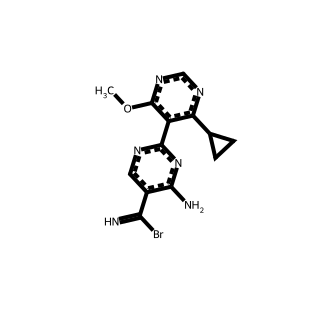 COc1ncnc(C2CC2)c1-c1ncc(C(=N)Br)c(N)n1